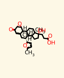 Cc1ccc([C@@H]2CC3=CC(=O)C4OC4[C@]3(C)[C@H]3CC[C@@]4(C)[C@@H](CC[C@@]4(O)CCC(=O)O)[C@H]23)o1